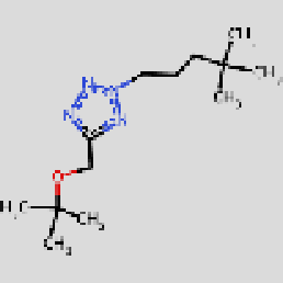 CC(C)(C)CCCn1nnc(COC(C)(C)C)n1